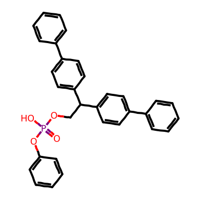 O=P(O)(OCC(c1ccc(-c2ccccc2)cc1)c1ccc(-c2ccccc2)cc1)Oc1ccccc1